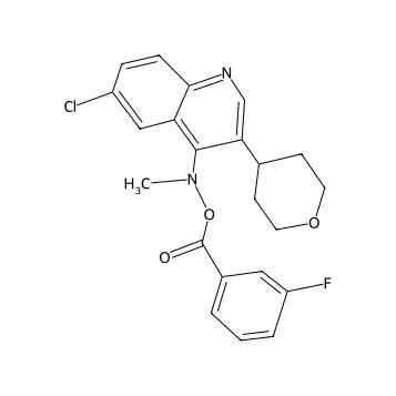 CN(OC(=O)c1cccc(F)c1)c1c(C2CCOCC2)cnc2ccc(Cl)cc12